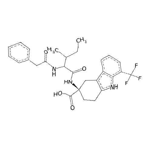 CCC(C)C(NC(=O)Cc1ccccc1)C(=O)N[C@]1(C(=O)O)CCc2[nH]c3c(C(F)(F)F)cccc3c2C1